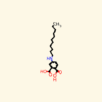 CCCCCCCCCCCNc1ccc(C(=O)O)c(C(=O)O)c1